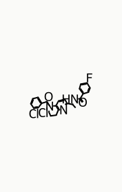 CC(NC(=O)c1ccc(F)cc1)c1ccc2c(n1)CCCN2C(=O)c1cccc(Cl)c1Cl